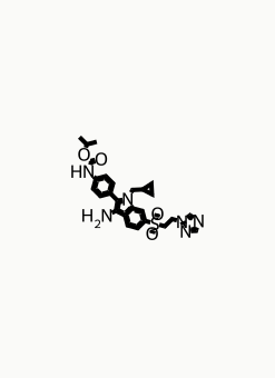 CC(C)OC(=O)Nc1ccc(-c2c(N)c3ccc(S(=O)(=O)CCn4cncn4)cc3n2CC2CC2)cc1